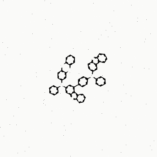 c1ccc(N(c2ccc3c(c2)Oc2ccccc2O3)c2cc(-c3ccc(N(c4ccccc4)c4ccc5oc6ccccc6c5c4)cc3)c3c(c2)sc2ccccc23)cc1